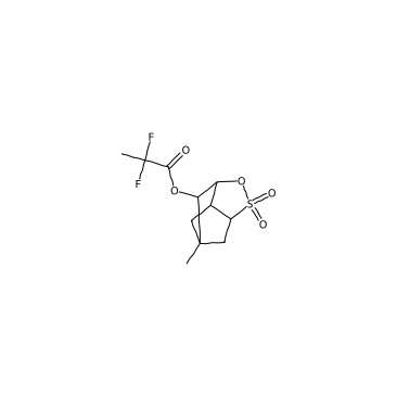 CC(F)(F)C(=O)OC1C2OS(=O)(=O)C3CC1(C)CC23